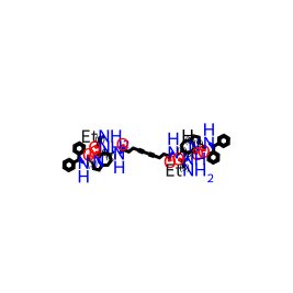 CC[C@H](N)C(=O)N[C@@H]1C(=O)N2C(CC[C@@H]1CNC(=O)CCC#CC#CCCC(=O)NC[C@H]1CC[C@H]3CC[C@@H](C(=O)NC(c4ccccc4)c4ccccc4)N3C(=O)[C@H]1NC(=O)[C@@H](N)CC)CC[C@H]2C(=O)NC(c1ccccc1)c1ccccc1